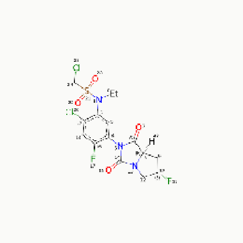 CCN(c1cc(N2C(=O)[C@H]3C[C@H](F)CN3C2=O)c(F)cc1Cl)S(=O)(=O)CCl